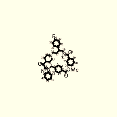 COC(=O)c1ccc(Cn2c(C(=O)C3CCN(CCC(CN(C)C(=O)c4ccccc4)c4ccc(F)cc4)CC3)nc3ccccc32)cc1